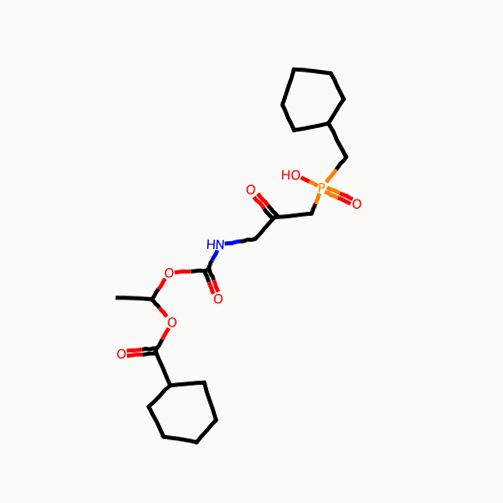 CC(OC(=O)NCC(=O)CP(=O)(O)CC1CCCCC1)OC(=O)C1CCCCC1